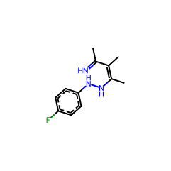 CC(=N)C(C)=C(C)NNc1ccc(F)cc1